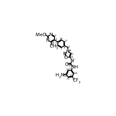 COc1ncc(-c2ccc(C[n+]3cc([N-]C(=O)Nc4cc(N)cc(C(F)(F)F)c4)on3)cc2)c(C)n1